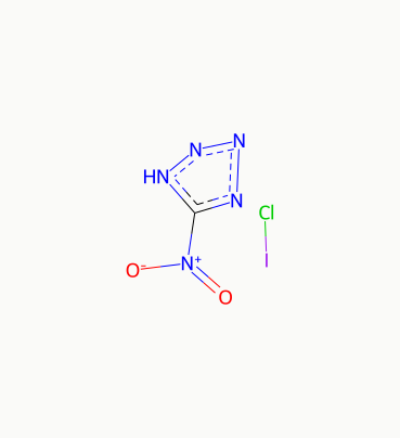 ClI.O=[N+]([O-])c1nnn[nH]1